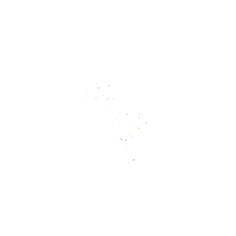 COc1ccc(C(C)(C)c2ccc(OC(=O)c3ccccc3)c(C(F)(F)F)c2)cc1C(F)(F)F